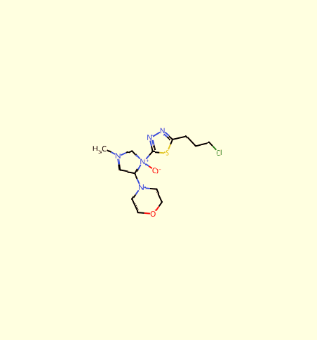 CN1CC(N2CCOCC2)[N+]([O-])(c2nnc(CCCCl)s2)C1